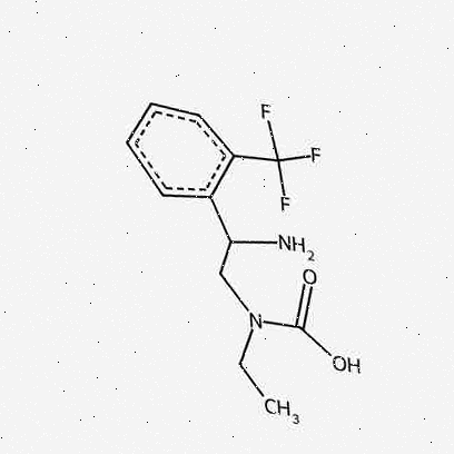 CCN(CC(N)c1ccccc1C(F)(F)F)C(=O)O